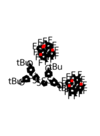 CC(C)(C)Oc1ccc([S+](c2ccc(OC(C)(C)C)cc2)c2ccc(Sc3ccc([S+](c4ccc(OC(C)(C)C)cc4)c4ccc(OC(C)(C)C)cc4)s3)s2)cc1.Fc1c(F)c(F)c([B-](c2c(F)c(F)c(F)c(F)c2F)(c2c(F)c(F)c(F)c(F)c2F)c2c(F)c(F)c(F)c(F)c2F)c(F)c1F.Fc1c(F)c(F)c([B-](c2c(F)c(F)c(F)c(F)c2F)(c2c(F)c(F)c(F)c(F)c2F)c2c(F)c(F)c(F)c(F)c2F)c(F)c1F